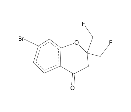 O=C1CC(CF)(CF)Oc2cc(Br)ccc21